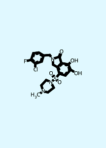 CN1CCN(S(=O)(=O)c2cc(O)c(O)c3c2CN(Cc2ccc(F)c(Cl)c2)C3=O)CC1